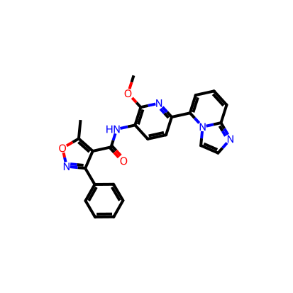 COc1nc(-c2cccc3nccn23)ccc1NC(=O)c1c(-c2ccccc2)noc1C